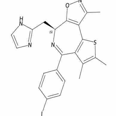 Cc1noc2c1-c1sc(C)c(C)c1C(c1ccc(I)cc1)=N[C@H]2Cc1ncc[nH]1